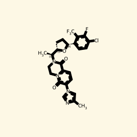 Cc1cn(-c2ccc3n(c2=O)CCN([C@@H](C)[C@@H]2CC[C@H](c4ccc(Cl)c(F)c4C(F)(F)F)O2)C3=O)cn1